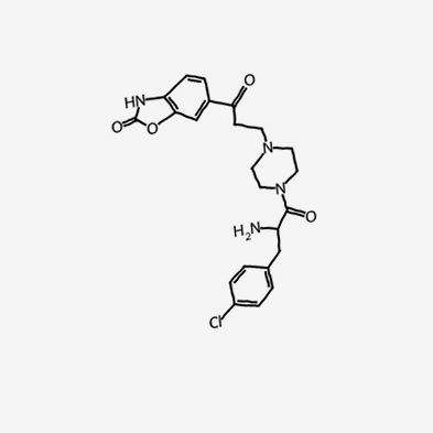 NC(Cc1ccc(Cl)cc1)C(=O)N1CCN(CCC(=O)c2ccc3[nH]c(=O)oc3c2)CC1